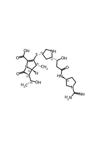 C[C@@H](O)[C@H]1C(=O)N2C(C(=O)O)=C(S[C@@H]3CN[C@H](C(O)CC(=O)N[C@H]4CCN(C(=N)N)C4)C3)[C@H](C)[C@H]12